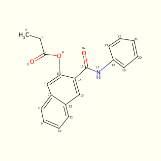 CCC(=O)Oc1cc2ccccc2cc1C(=O)Nc1ccccc1